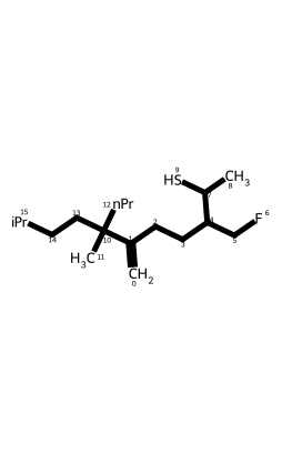 C=C(CCC(CF)C(C)S)C(C)(CCC)CCC(C)C